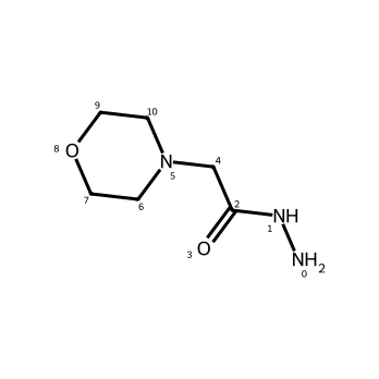 NNC(=O)CN1CCOCC1